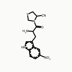 N#CC1CSCN1C(=O)C(N)Cc1c[nH]c2ccc([N+](=O)[O-])cc12